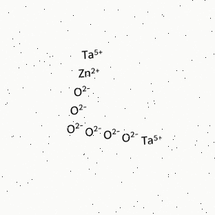 [O-2].[O-2].[O-2].[O-2].[O-2].[O-2].[Ta+5].[Ta+5].[Zn+2]